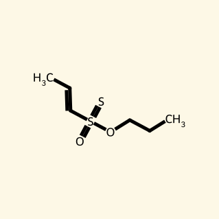 CC=CS(=O)(=S)OCCC